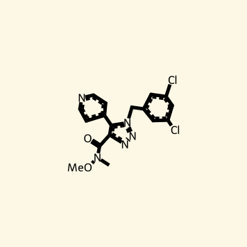 CON(C)C(=O)c1nnn(Cc2cc(Cl)cc(Cl)c2)c1-c1ccncc1